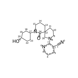 N#Cc1cccnc1N1CCCC2(CCCN(C3CCC(O)CC3)C2=O)C1